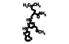 COCc1cc(Nc2nc3cccnc3s2)nc(NCC/C(=C\CN(C)C)C(N)=O)n1